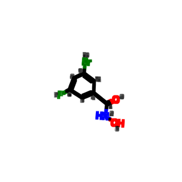 O=C(NO)c1cc(F)cc(Br)c1